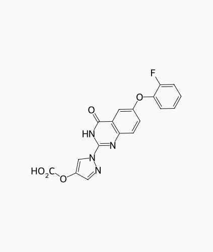 O=C(O)Oc1cnn(-c2nc3ccc(Oc4ccccc4F)cc3c(=O)[nH]2)c1